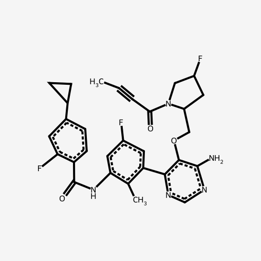 CC#CC(=O)N1CC(F)CC1COc1c(N)ncnc1-c1cc(F)cc(NC(=O)c2ccc(C3CC3)cc2F)c1C